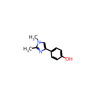 Cc1nc(-c2ccc(O)cc2)cn1C